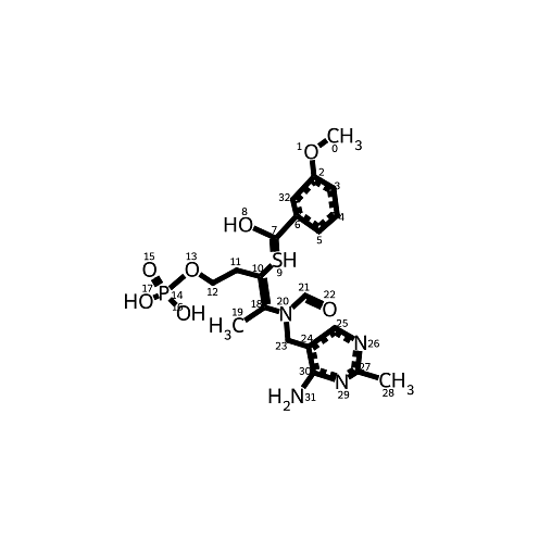 COc1cccc(/C(O)=[SH]/C(CCOP(=O)(O)O)=C(/C)N(C=O)Cc2cnc(C)nc2N)c1